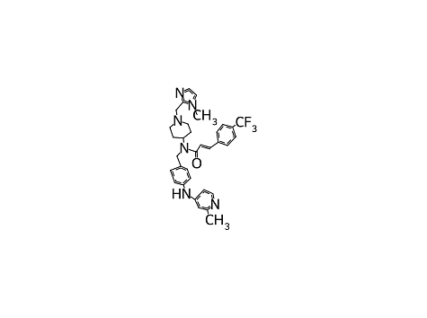 Cc1cc(Nc2ccc(CN(C(=O)/C=C/c3ccc(C(F)(F)F)cc3)C3CCN(Cc4nccn4C)CC3)cc2)ccn1